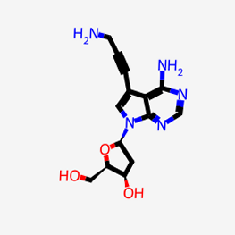 NCC#Cc1cn([C@H]2C[C@@H](O)[C@@H](CO)O2)c2ncnc(N)c12